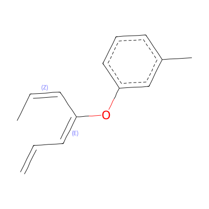 C=C/C=C(\C=C/C)Oc1cccc(C)c1